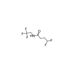 O=C(CCC(F)F)NCC(F)(F)F